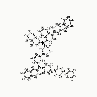 c1ccc(-c2ccc(-c3ccc(N(c4cccc(-c5cccc(N(c6ccc7ccccc7c6)c6ccc(-c7ccc8c(c7)oc7ccccc78)c7ccccc67)c5)c4)c4ccc5ccccc5c4)cc3)cc2)cc1